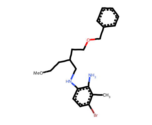 COCCC(CCOCc1ccccc1)CNc1ccc(Br)c(C)c1N